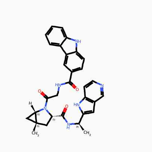 C[C@@H](NC(=O)[C@@H]1C[C@]2(C)C[C@@H]2N1C(=O)CNC(=O)c1ccc2[nH]c3ccccc3c2c1)c1cc2cnccc2[nH]1